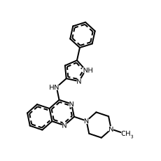 CN1CCN(c2nc(Nc3cc(-c4ccccc4)[nH]n3)c3ccccc3n2)CC1